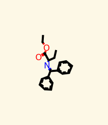 CCOC(=O)C(CC)N=C(c1ccccc1)c1ccccc1